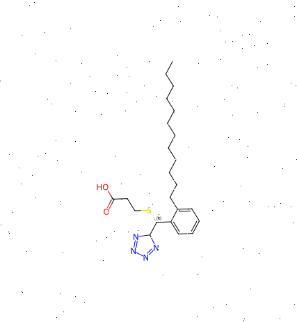 CCCCCCCCCCCCc1ccccc1[C@@H](SCCC(=O)O)C1N=NN=N1